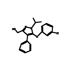 CC(C)n1nc(CO)c(-c2ccccc2)c1Oc1cccc(Cl)c1